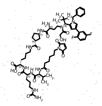 CC(C)[C@H](NC(=O)CCCCCN1C(=O)C=CC1=O)C(=O)N[C@@H](CCCNC(N)=O)C(=O)N[C@@H](CCCCNC(=O)[C@@H]1CC[C@H](NC(=O)[C@@H](N)CCN(C(=O)CO)[C@@H](c2cc(-c3cc(F)ccc3F)cn2Cc2ccccc2)C(C)(C)C)C1)C(=O)O